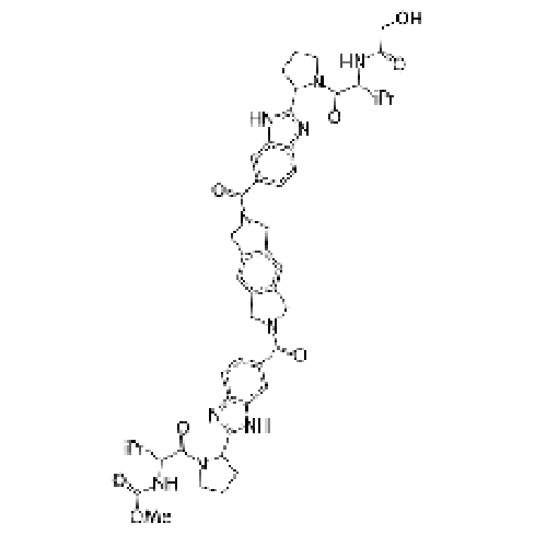 COC(=O)NC(C(=O)N1CCCC1c1nc2ccc(C(=O)N3Cc4cc5c(cc4C3)CN(C(=O)c3ccc4nc(C6CCCN6C(=O)C(NC(=O)CO)C(C)C)[nH]c4c3)C5)cc2[nH]1)C(C)C